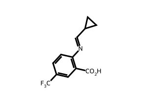 O=C(O)c1cc(C(F)(F)F)ccc1N=CC1CC1